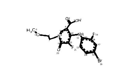 COCCn1cc(C(=O)O)c(Nc2ccc(Br)cc2F)c(F)c1=O